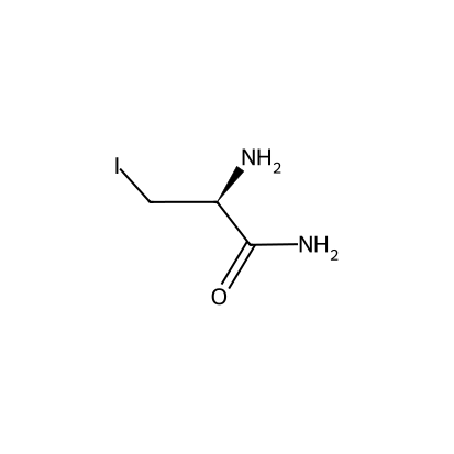 NC(=O)[C@H](N)CI